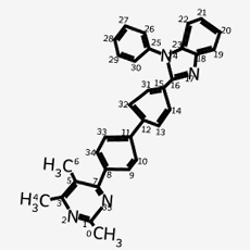 Cc1nc(C)c(C)c(-c2ccc(-c3ccc(-c4nc5ccccc5n4-c4ccccc4)cc3)cc2)n1